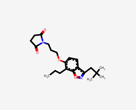 CCCc1c(OCCCN2C(=O)CCC2=O)ccc2c(CC(C)(C)C)noc12